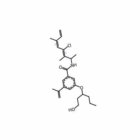 C=C/C(C)=C\C(Cl)=C(/C)C(C)NC(=O)c1cc(OC(CCC)CCO)cc(C(=C)C)c1